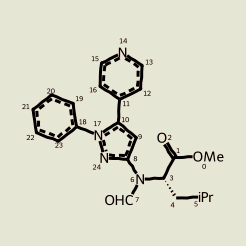 COC(=O)[C@H](CC(C)C)N(C=O)c1cc(-c2ccncc2)n(-c2ccccc2)n1